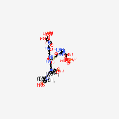 CC[N+]1=C(/C=C/C=C/C=C2/N(CCCCCC(=O)NC(CSSCCC(=O)NCc3cn(C4CC(O)C(COP(=O)(O)OP(=O)(O)OP(=O)(O)O)O4)c4ncnc(N)c34)C(=O)NCCCCCC(=O)NCCn3c(=O)ccn(C4CC(O)C(COP(=O)(O)O)O4)c3=O)c3ccc(S(=O)(=O)O)cc3C2(C)C)C(C)(C)c2cc(S(=O)(=O)O)ccc21